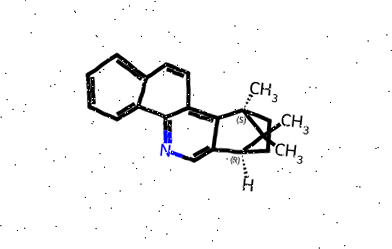 CC1(C)[C@H]2CC[C@]1(C)c1c2cnc2c1ccc1ccccc12